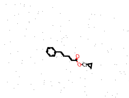 C1CC1.COC(=O)C=CC=Cc1ccccc1